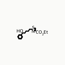 CCOC(=O)c1csc(CCCCC(O)c2ccccc2)n1